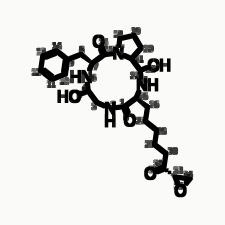 O=C1NCC(O)N[C@@H](Cc2ccccc2)C(=O)N2CCCC2C(O)N[C@H]1CCCCCC(=O)[C@@H]1CO1